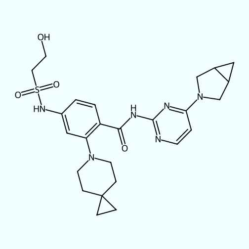 O=C(Nc1nccc(N2CC3CC3C2)n1)c1ccc(NS(=O)(=O)CCO)cc1N1CCC2(CC1)CC2